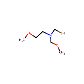 COCCN(CS)COC